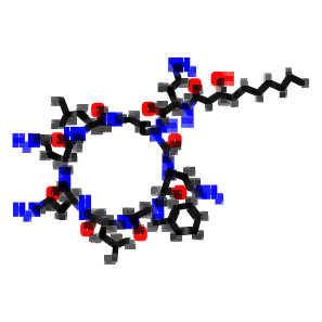 CCCCCCC[C@@H](O)CC(=O)N[C@H](CCN)C(=O)NN1CCNC(=O)[C@H](CC(C)C)NC(=O)[C@H](CCN)NC(=O)[C@H](CCN)NC(=O)[C@H](CC(C)C)NC(=O)[C@@H](Cc2ccccc2)NC(=O)[C@H](CCN)NC1=O